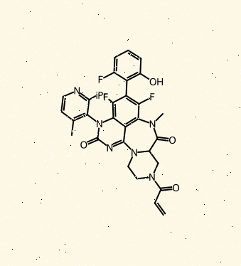 C=CC(=O)N1CCN2c3nc(=O)n(-c4c(C)ccnc4C(C)C)c4c(F)c(-c5c(O)cccc5F)c(F)c(c34)N(C)C(=O)C2C1